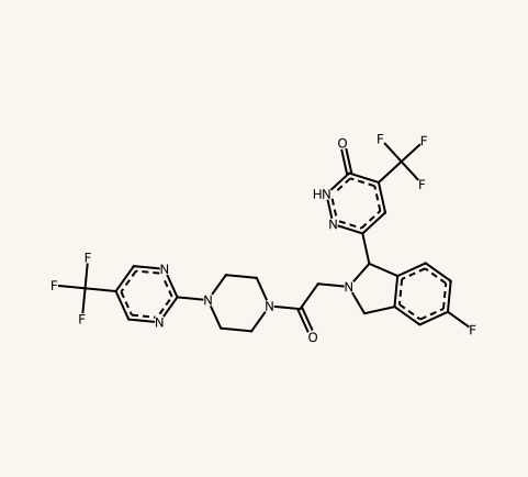 O=C(CN1Cc2cc(F)ccc2C1c1cc(C(F)(F)F)c(=O)[nH]n1)N1CCN(c2ncc(C(F)(F)F)cn2)CC1